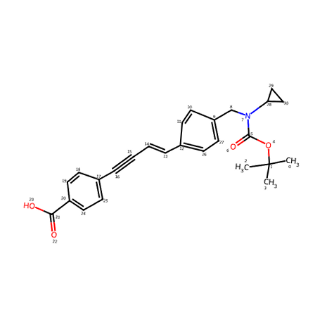 CC(C)(C)OC(=O)N(Cc1ccc(C=CC#Cc2ccc(C(=O)O)cc2)cc1)C1CC1